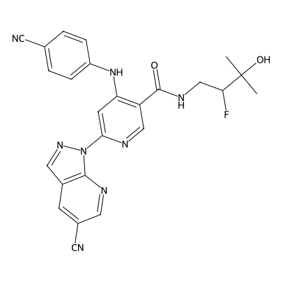 CC(C)(O)C(F)CNC(=O)c1cnc(-n2ncc3cc(C#N)cnc32)cc1Nc1ccc(C#N)cc1